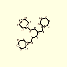 C1CCN(C[C](CCCN2CCOCC2)CCN2CCOCC2)CC1